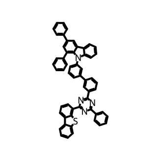 c1ccc(-c2cc(-c3ccccc3)c3c(c2)c2ccccc2n3-c2cccc(-c3cccc(-c4nc(-c5ccccc5)nc(-c5cccc6c5sc5ccccc56)n4)c3)c2)cc1